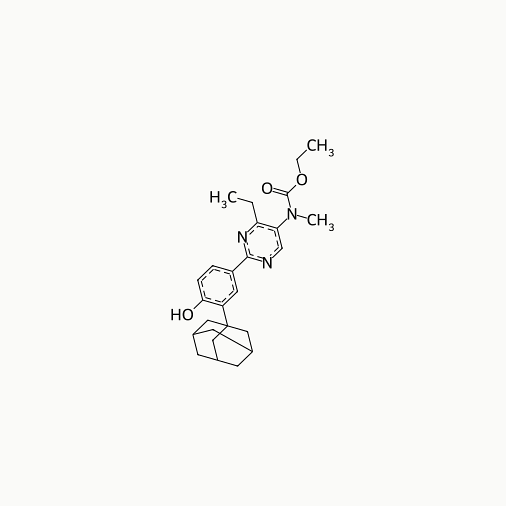 CCOC(=O)N(C)c1cnc(-c2ccc(O)c(C34CC5CC(CC(C5)C3)C4)c2)nc1CC